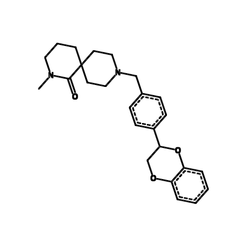 CN1CCCC2(CCN(Cc3ccc(C4COc5ccccc5O4)cc3)CC2)C1=O